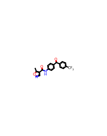 Cc1oncc1C(=O)Nc1ccc(C(=O)c2ccc(C(F)(F)F)cc2)cc1